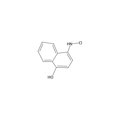 Oc1ccc(NCl)c2ccccc12